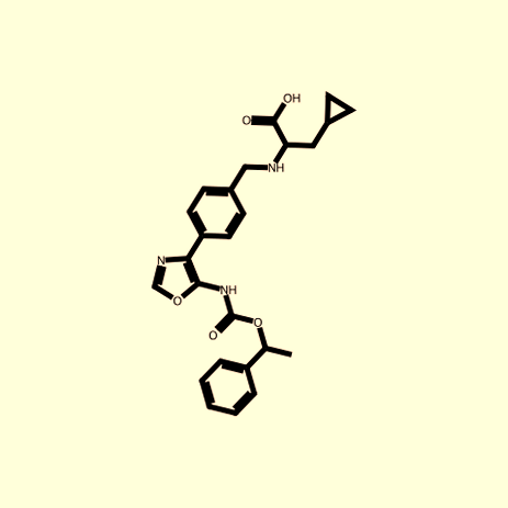 CC(OC(=O)Nc1ocnc1-c1ccc(CNC(CC2CC2)C(=O)O)cc1)c1ccccc1